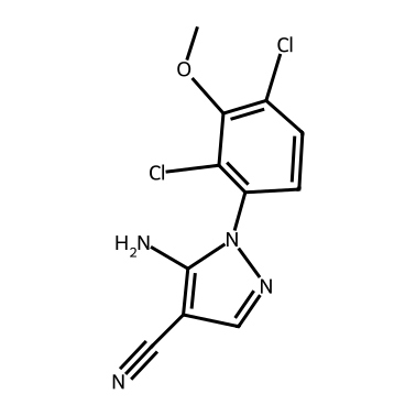 COc1c(Cl)ccc(-n2ncc(C#N)c2N)c1Cl